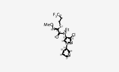 CCN(C(=O)C(=NOC)SCCC(F)(F)F)c1cn(-c2cccnc2)nc1Cl